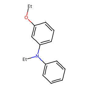 CCOc1[c]ccc(N(CC)c2ccccc2)c1